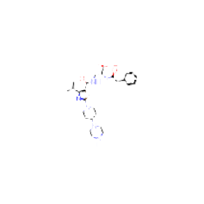 CC(C)c1nc(N2CCC(N3CCNCC3)CC2)sc1C(=O)NC[C@H](NC(=O)Cc1ccccc1)C(=O)O